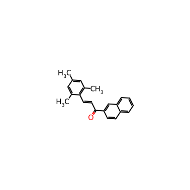 Cc1cc(C)c(/C=C/C(=O)c2ccc3ccccc3c2)c(C)c1